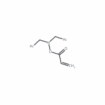 C=CC(=O)ON(CC(C)=O)CC(C)=O